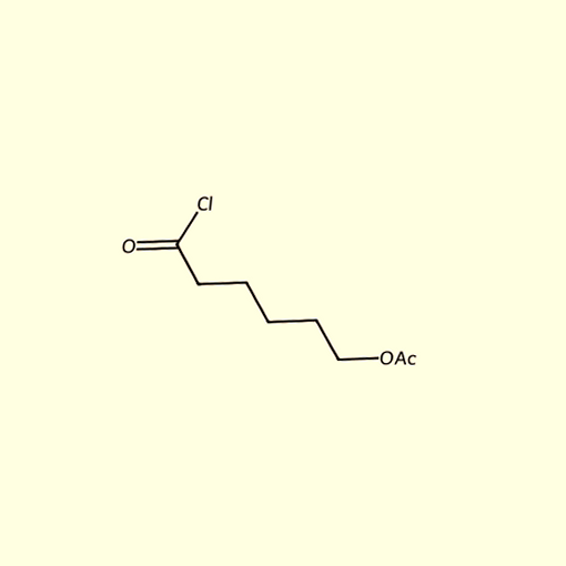 CC(=O)OCCCCCC(=O)Cl